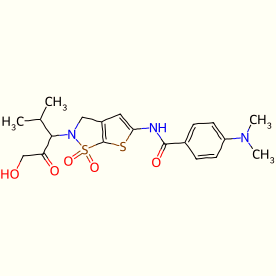 CC(C)C(C(=O)CO)N1Cc2cc(NC(=O)c3ccc(N(C)C)cc3)sc2S1(=O)=O